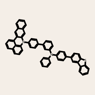 c1ccc(N(c2ccc(-c3ccc4sc5ccccc5c4c3)cc2)c2cccc(-c3ccc(N4c5cc6ccccc6cc5-c5cccc6cccc4c56)cc3)c2)cc1